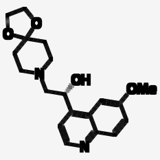 COc1ccc2nccc([C@@H](O)CN3CCC4(CC3)OCCO4)c2c1